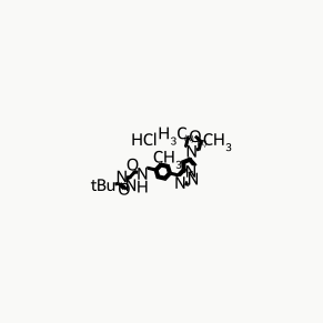 Cc1cc(-c2ncnn3cc(N4C[C@@H](C)O[C@H](C)C4)cc23)ccc1CNC(=O)c1noc(C(C)(C)C)n1.Cl